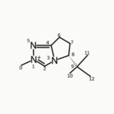 C[n+]1cn2c(n1)CC[C@@H]2C(C)(C)C